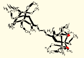 CO[Si](OC)(OC)C(CCSSSSCCC([Si](OC)(OC)OC)([Si](OC)(OC)OC)[Si](OC)(OC)OC)([Si](OC)(OC)OC)[Si](OC)(OC)OC